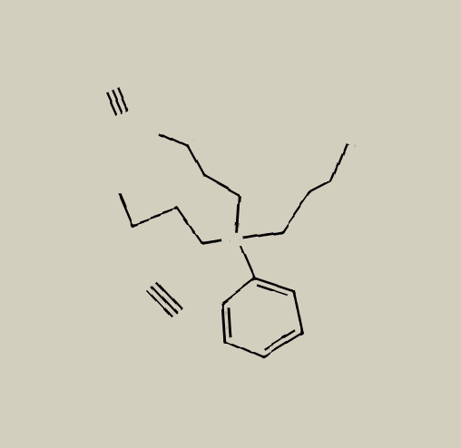 C#C.C#C.CCC[CH2][Sn]([CH2]CCC)([CH2]CCC)[c]1ccccc1